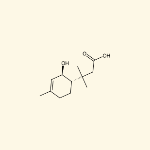 CC1=C[C@@H](O)[C@H](C(C)(C)CC(=O)O)CC1